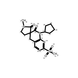 CN1CCC2(Cc3cnc(S(C)(=O)=O)nc3N(C3CCCC3)C2=O)C1=O